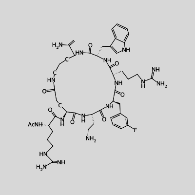 C=C(N)C1CCCNC(=O)CC[C@H](NC(=O)[C@H](CCCNC(=N)N)NC(C)=O)C(=O)N[C@@H](CCN)C(=O)N[C@H](Cc2cccc(F)c2)C(=O)N[C@@H](CCCNC(=N)N)C(=O)N[C@@H](Cc2c[nH]c3ccccc23)C(=O)N1